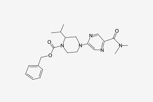 CC(C)C1CN(c2cnc(C(=O)N(C)C)cn2)CCN1C(=O)OCc1ccccc1